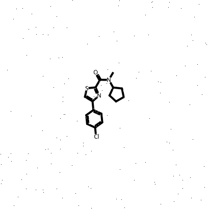 CN(C(=O)c1nc(-c2ccc(Cl)cc2)cs1)C1CCCC1